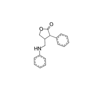 O=C1OCC(CNc2ccccc2)C1c1ccccc1